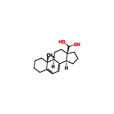 C[C@]12CCCCC1=CC=C1[C@@H]3CCC[C@@]3(C(O)O)CC[C@@H]12